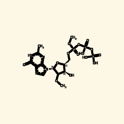 COC1[C@@H](O)[C@@H](COP(=O)(OC)OP(=O)(O)OP(=O)(O)O)O[C@H]1n1cnc2c(=O)[nH]c(C)nc21